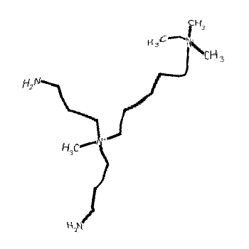 C[N+](C)(C)CCCCC[N+](C)(CCCN)CCCN